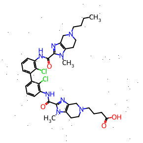 CCCCN1CCc2c(nc(C(=O)Nc3cccc(-c4cccc(NC(=O)c5nc6c(n5C)CCN(CCCC(=O)O)C6)c4Cl)c3Cl)n2C)C1